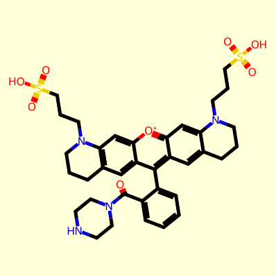 O=C(c1ccccc1-c1c2cc3c(cc2[o+]c2cc4c(cc12)CCCN4CCCS(=O)(=O)O)N(CCCS(=O)(=O)O)CCC3)N1CCNCC1